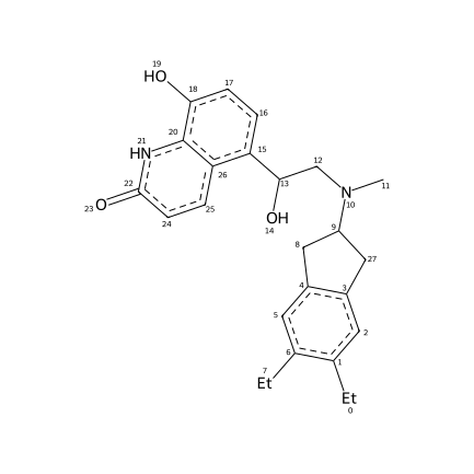 CCc1cc2c(cc1CC)CC(N(C)CC(O)c1ccc(O)c3[nH]c(=O)ccc13)C2